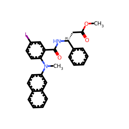 COC(=O)C[C@@H](NC(=O)c1cc(I)ccc1N(C)c1ccc2ccccc2c1)c1ccccc1